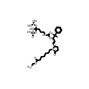 CCOC(=O)CCCCCCN1C(=O)CC[C@@H]1/C=C/[C@@H](OC(=O)NCCCC(O)(OP(O)O)O[PH](=O)O)C(F)(F)c1ccccc1